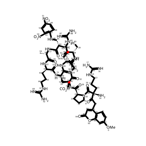 COc1ccc2c(CC(=O)[C@@](N)(CCCNC(=N)N)C(=O)N3CCC[C@H]3C(=O)N[C@@H](CC(C)C)C(=O)NCC(=O)N[C@@H](CC(C)C)C(=O)N[C@@H](CNc3ccc([N+](=O)[O-])cc3[N+](=O)[O-])C(=O)N[C@@H](C)C(=O)N[C@H](CCCNC(=N)N)C(=O)N[C@H](CCC(=O)O)C(=O)N[C@H](CCCNC(=N)N)C(N)=O)cc(=O)oc2c1